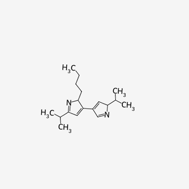 CCCCC1N=C(C(C)C)C=C1C1=CC(C(C)C)N=C1